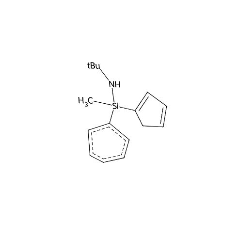 CC(C)(C)N[Si](C)(C1=CC=CC1)c1ccccc1